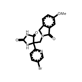 COc1ccc2c(c1)C(=O)N(CC1(c3ccc(Br)cn3)NC(=O)NC1=O)C2